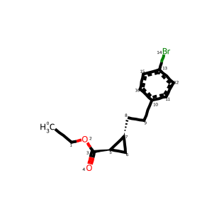 CCOC(=O)[C@@H]1C[C@H]1CCc1ccc(Br)cc1